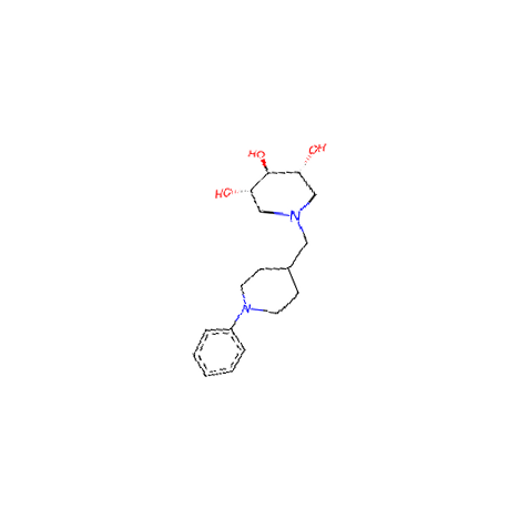 O[C@H]1[C@H](O)CN(CC2CCN(c3ccccc3)CC2)C[C@@H]1O